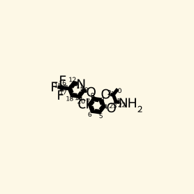 CC(Oc1ccccc1Oc1ncc(C(F)(F)F)cc1Cl)C(N)=O